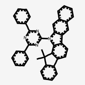 CC1(C)c2ccccc2-c2ccc3c4cc5ccccc5cc4n(-c4nc(-c5ccccc5)nc(-c5ccccc5)n4)c3c21